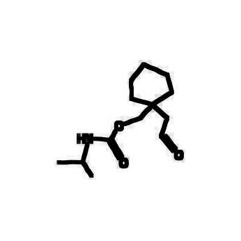 CC(C)NC(=O)OCC1(CC=O)CCCCC1